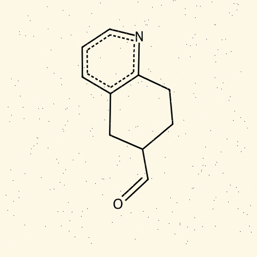 O=CC1CCc2ncccc2C1